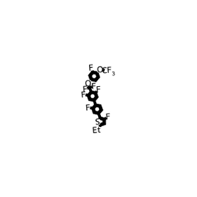 CCc1cc(F)c(-c2ccc(-c3cc(F)c(C(F)(F)Oc4ccc(OC(F)(F)F)c(F)c4)c(F)c3)c(F)c2)s1